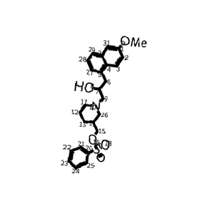 COc1ccc2c(CC(O)CN3CCCC(COS(=O)(=O)c4ccccc4)C3)cccc2c1